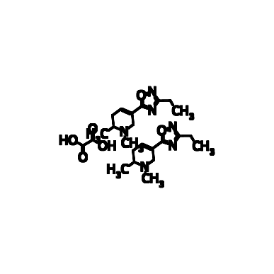 CCc1noc(C2=CCC(C)N(C)C2)n1.CCc1noc(C2=CCC(C)N(C)C2)n1.O=C(O)C(=O)O